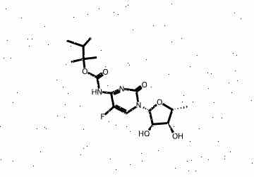 CC(C)C(C)(C)OC(=O)Nc1nc(=O)n([C@@H]2O[C@H](C)[C@@H](O)[C@H]2O)cc1F